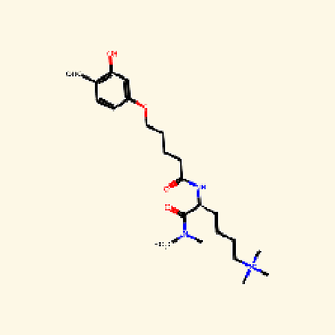 CN(C(=O)O)C(=O)[C@H](CCCC[N+](C)(C)C)NC(=O)CCCCOc1ccc(C=O)c(O)c1